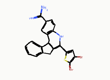 N=C(N)c1ccc2c(c1)C1c3ccccc3CC1C(c1cc(Br)c(Br)s1)N2